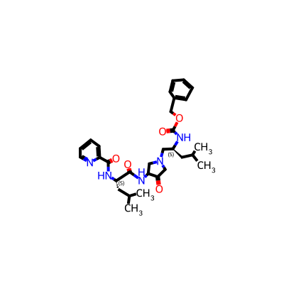 CC(C)C[C@@H](CN1CC(=O)C(NC(=O)[C@H](CC(C)C)NC(=O)c2ccccn2)C1)NC(=O)OCc1ccccc1